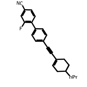 CCCC1CC=C(C#Cc2ccc(-c3ccc(C#N)cc3F)cc2)CC1